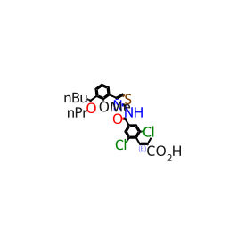 CCCCC(OCCC)c1cccc(-c2csc(NC(=O)c3cc(Cl)c(/C=C(\C)C(=O)O)c(Cl)c3)n2)c1OC